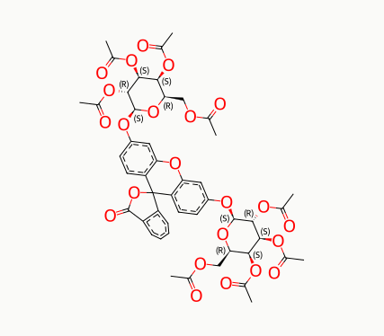 CC(=O)OC[C@H]1O[C@@H](Oc2ccc3c(c2)Oc2cc(O[C@@H]4O[C@H](COC(C)=O)[C@H](OC(C)=O)[C@H](OC(C)=O)[C@H]4OC(C)=O)ccc2C32OC(=O)c3ccccc32)[C@H](OC(C)=O)[C@@H](OC(C)=O)[C@H]1OC(C)=O